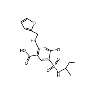 CCC(C)NS(=O)(=O)c1cc(C(=O)O)c(NCc2ccco2)cc1Cl